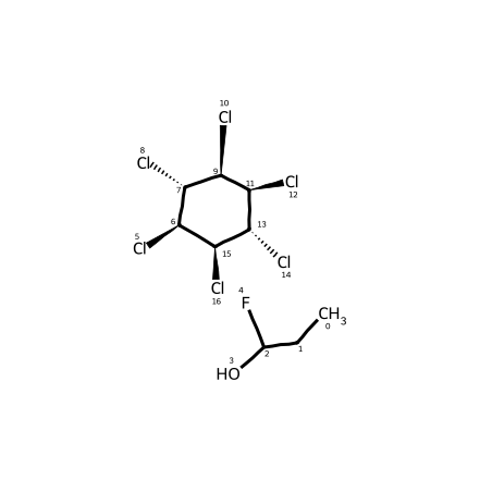 CCC(O)F.Cl[C@H]1[C@H](Cl)[C@@H](Cl)[C@@H](Cl)[C@H](Cl)[C@H]1Cl